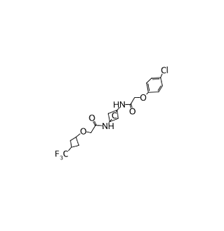 O=C(COc1ccc(Cl)cc1)NC12CC(NC(=O)COC3CC(C(F)(F)F)C3)(C1)C2